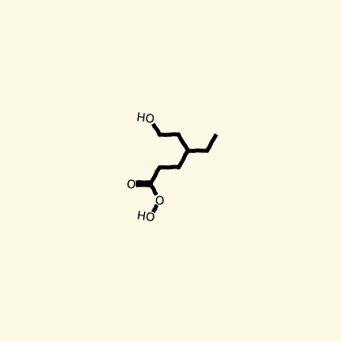 CCC(CCO)CCC(=O)OO